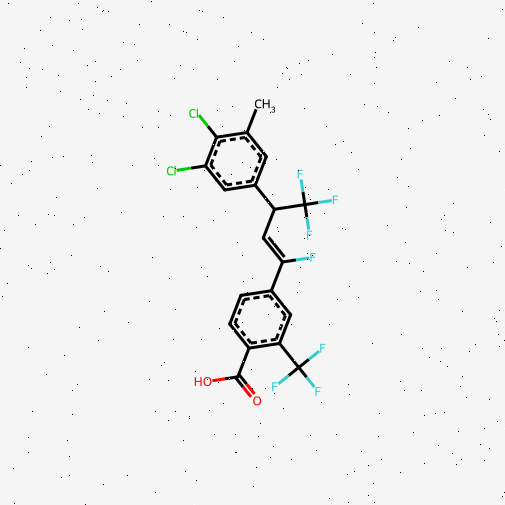 Cc1cc(C(/C=C(\F)c2ccc(C(=O)O)c(C(F)(F)F)c2)C(F)(F)F)cc(Cl)c1Cl